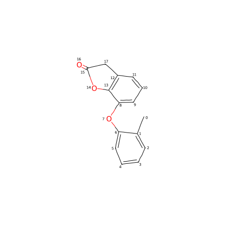 Cc1ccccc1Oc1cccc2c1OC(=O)C2